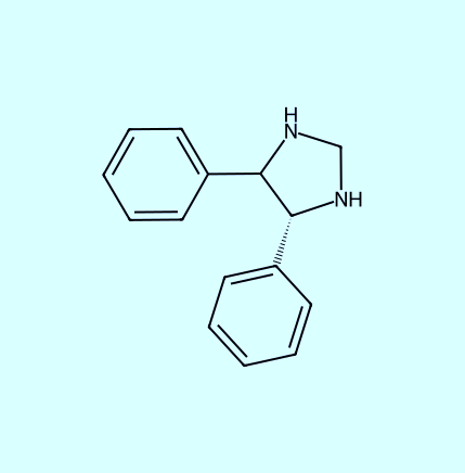 c1ccc(C2NCN[C@@H]2c2ccccc2)cc1